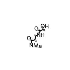 CNC(=O)CCNC(=O)CO